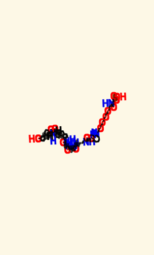 CN[C@H](CCCCNC(=O)COC1CCCCCc2c1nnn2CCOCCOCCOCCOCCC(=O)NCCS(=O)(=O)O)C(=O)N[C@H](C(=O)N[C@@H](C)C(=O)Nc1ccc2c(c1)[C@@]1(C)CCC[C@](C)(C(=O)NC(=O)[C@@]3(C)CCC[C@]4(C)c5cc(O)ccc5CC[C@@H]34)[C@@H]1CC2)C(C)C